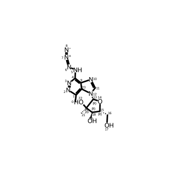 Cc1nnc(NN=[N+]=[N-])c2ncn([C@@H]3O[C@H](CO)[C@@H](O)[C@@]3(C)O)c12